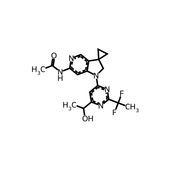 CC(=O)Nc1cc2c(cn1)C1(CC1)CN2c1cc(C(C)O)nc(C(C)(F)F)n1